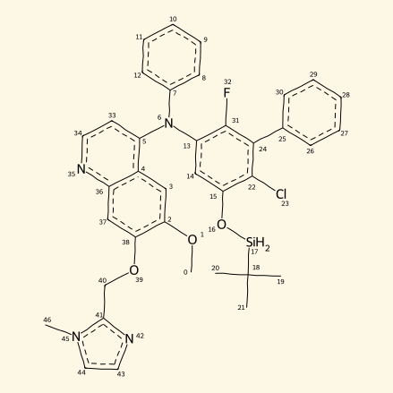 COc1cc2c(N(c3ccccc3)c3cc(O[SiH2]C(C)(C)C)c(Cl)c(-c4ccccc4)c3F)ccnc2cc1OCc1nccn1C